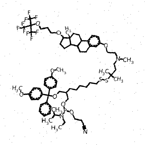 CCN(C(C)C)P(OCCC#N)OCC(CCCCCCSSC(C)(C)CCN(C)CCOc1ccc2c(c1)CCC1C2CCC2(C)C(OCCCOC(C(F)(F)F)(C(F)(F)F)C(F)(F)F)CCC12)COC(c1ccccc1)(c1ccc(OC)cc1)c1ccc(OC)cc1